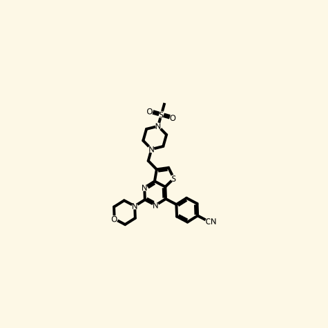 CS(=O)(=O)N1CCN(Cc2csc3c(-c4ccc(C#N)cc4)nc(N4CCOCC4)nc23)CC1